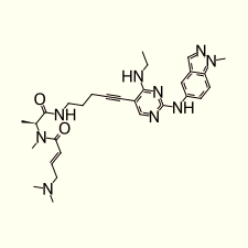 CCNc1nc(Nc2ccc3c(cnn3C)c2)ncc1C#CCCCNC(=O)[C@H](C)N(C)C(=O)/C=C/CN(C)C